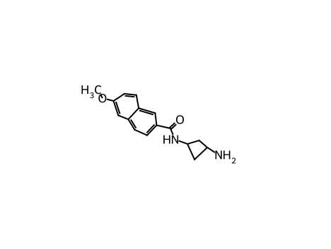 COc1ccc2cc(C(=O)NC3CC(N)C3)ccc2c1